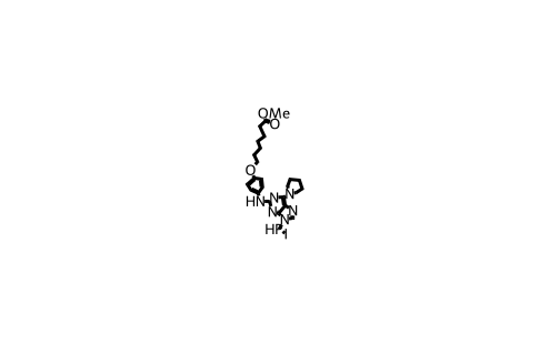 COC(=O)CCCCCCOc1ccc(Nc2nc(N3CCCCC3)c3ncn(PI)c3n2)cc1